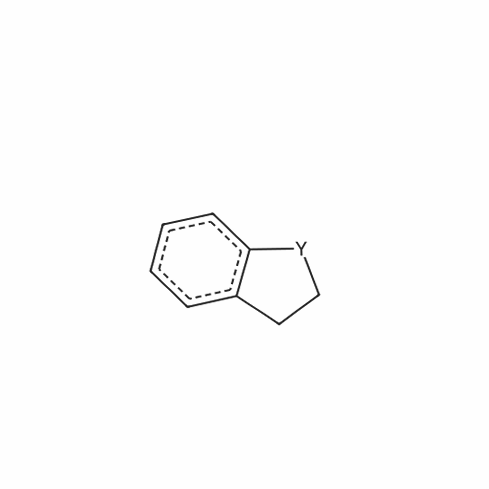 c1cc[c]2c(c1)C[CH2][Y]2